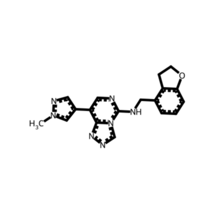 Cn1cc(-c2cnc(NCc3cccc4c3CCO4)n3cnnc23)cn1